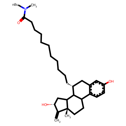 C=C1[C@H](O)CC2C3C(CC[C@]12C)c1ccc(O)cc1C[C@H]3CCCCCCCCCCC(=O)N(C)CCCC